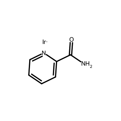 NC(=O)c1ccccn1.[Ir]